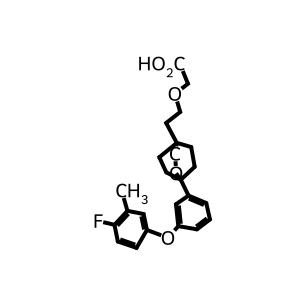 Cc1cc(Oc2cccc(C34CCC(CCOCC(=O)O)(CC3)CO4)c2)ccc1F